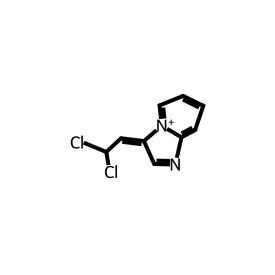 ClC(Cl)C=C1C=Nc2cccc[n+]21